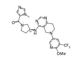 COc1ncc(N2CCc3ncnc(N[C@H]4CCN(C(=O)c5cncn5C)C4)c3C2)cc1C(F)(F)F